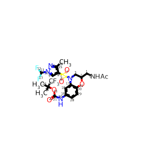 CC(=O)NCC1CN(S(=O)(=O)c2cn(C(F)F)nc2C)c2cc(NC(=O)OC(C)(C)C(F)(F)F)ccc2O1